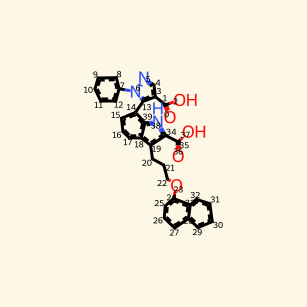 O=C(O)c1cnn(-c2ccccc2)c1-c1cccc2c(CCCOc3cccc4ccccc34)c(C(=O)O)[nH]c12